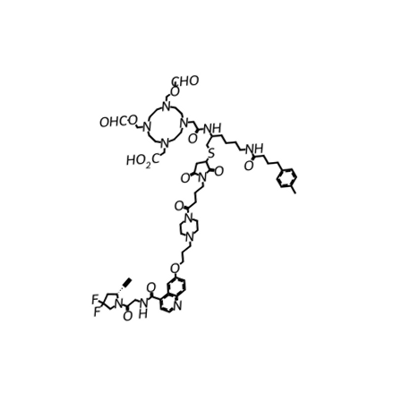 C#C[C@H]1CC(F)(F)CN1C(=O)CNC(=O)c1ccnc2ccc(OCCCN3CCN(C(=O)CCCN4C(=O)CC(SCC(CCCCNC(=O)CCCc5ccc(C)cc5)NC(=O)CN5CCN(COC=O)CCN(COC=O)CCN(CC(=O)O)CC5)C4=O)CC3)cc12